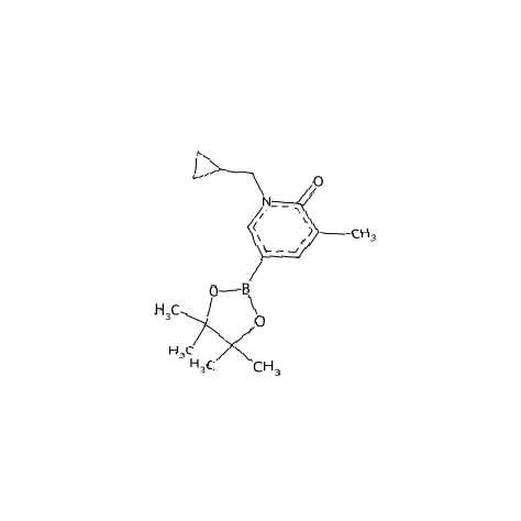 Cc1cc(B2OC(C)(C)C(C)(C)O2)cn(CC2CC2)c1=O